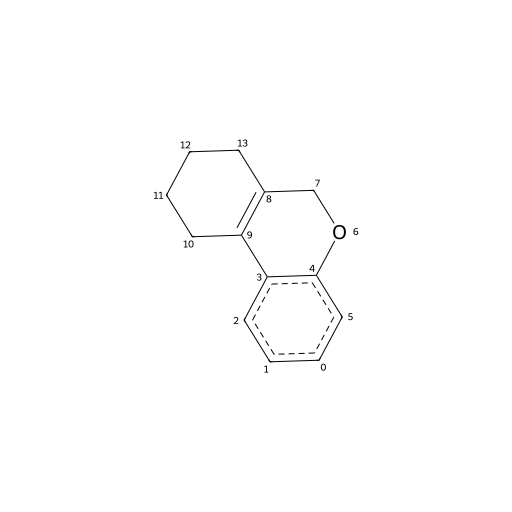 c1ccc2c(c1)OCC1=C2CCCC1